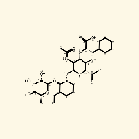 CCC1CCC[C@@H](O[C@@H]2O[C@@H](C(F)F)[C@H](O)C(O[C@@H](CC3CCCCC3)C(=O)O)C2NC(C)=O)C1OC1O[C@@H](C)C(O)[C@H](O)[C@@H]1O